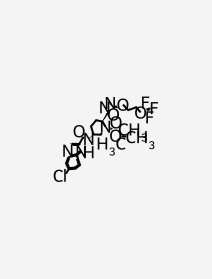 CC(C)(C)OC(=O)N1C[C@H](NC(=O)c2cnc3cc(Cl)ccc3n2)CC[C@H]1c1nnc(OCCOC(F)(F)F)o1